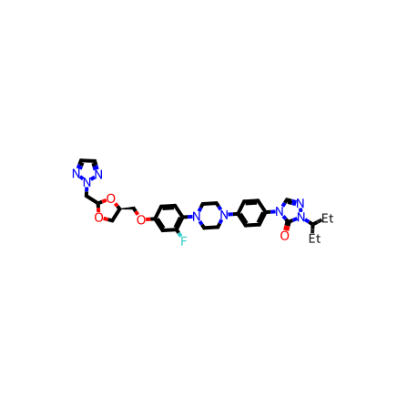 CCC(CC)n1ncn(-c2ccc(N3CCN(c4ccc(OC[C@H]5COC(Cn6nccn6)O5)cc4F)CC3)cc2)c1=O